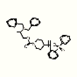 CC(COC(=O)N1CCC(Nc2ccccc2S(=O)(=O)c2ccccc2)CC1)N(Cc1ccccc1)Cc1ccccc1